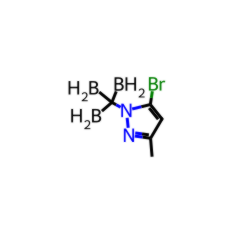 BC(B)(B)n1nc(C)cc1Br